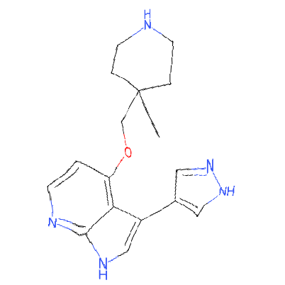 CC1(COc2ccnc3[nH]cc(-c4cn[nH]c4)c23)CCNCC1